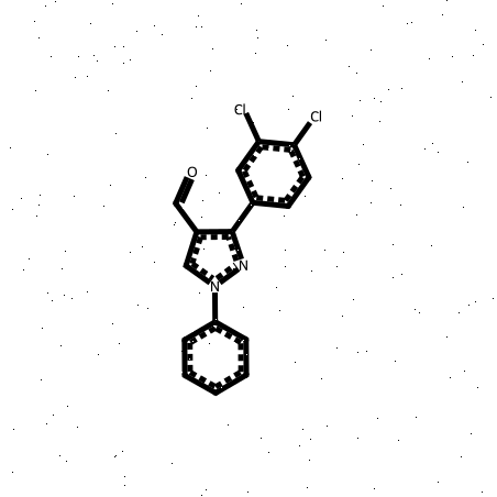 O=Cc1cn(-c2ccccc2)nc1-c1ccc(Cl)c(Cl)c1